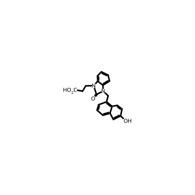 O=C(O)CCn1c(=O)n(Cc2cccc3cc(O)ccc23)c2ccccc21